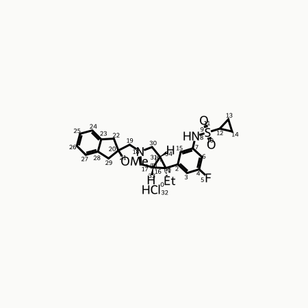 CC[C@]1(c2cc(F)cc(NS(=O)(=O)C3CC3)c2)[C@@H]2CN(CC3(OC)Cc4ccccc4C3)C[C@@H]21.Cl